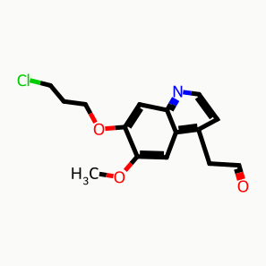 COc1cc2c(CC=O)ccnc2cc1OCCCCl